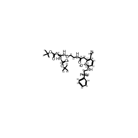 CC(C)(C)OC(=O)/N=C(/NOCCNC(=O)Cc1c(C#N)ccc(NCC(F)(F)c2ccccc2)[n+]1[O-])NC(=O)OC(C)(C)C